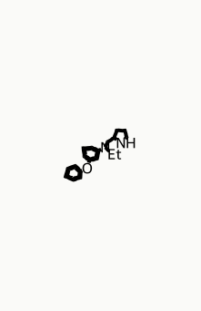 CCN(CC1CCCN1)c1cccc(Oc2ccccc2)c1